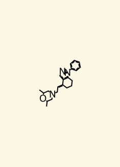 CC1CN(CC=C2CCCc3c2cnn3-c2ccccc2)CC(C)O1